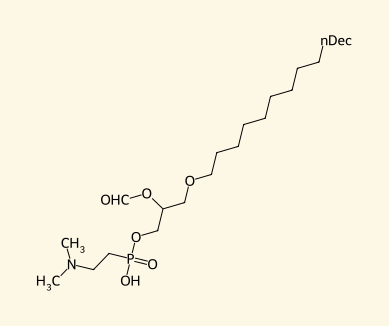 CCCCCCCCCCCCCCCCCCCOCC(COP(=O)(O)CCN(C)C)OC=O